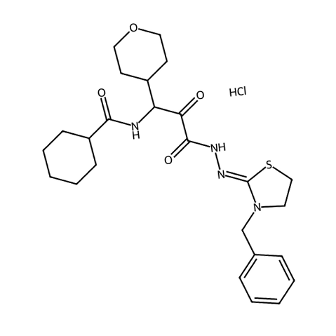 Cl.O=C(N/N=C1\SCCN1Cc1ccccc1)C(=O)C(NC(=O)C1CCCCC1)C1CCOCC1